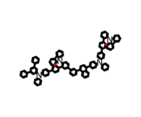 c1ccc(-c2cc(-c3ccccc3)cc(N(c3ccccc3)c3ccc(-c4ccc(-c5cc(-c6cccc(-c7ccc(-c8ccc(N(c9ccccc9)c9ccc(-c%10ccc(-c%11ccccc%11-n%11c%12ccccc%12c%12ccccc%12%11)cc%10)cc9)cc8)c8ccccc78)c6)ccc5-n5c6ccccc6c6ccccc65)cc4)cc3)c2)cc1